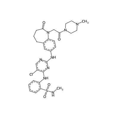 CNS(=O)(=O)c1ccccc1Nc1nc(Nc2ccc3c(c2)CCCC(=O)N3CC(=O)N2CCN(C)CC2)ncc1Cl